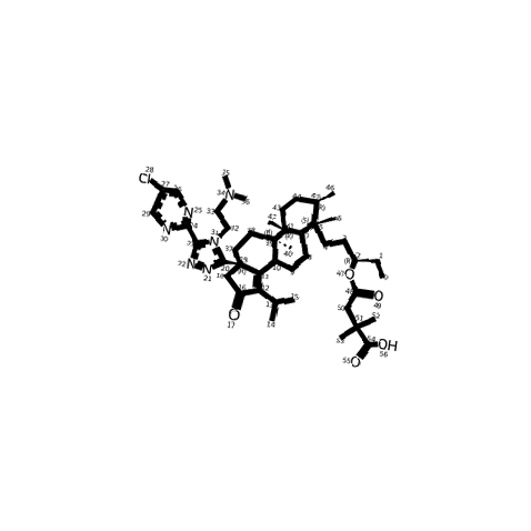 CC[C@H](CC[C@]1(C)C2CCC3C4=C(C(C)C)C(=O)C[C@]4(c4nnc(-c5ncc(Cl)cn5)n4CCN(C)C)CC[C@@]3(C)[C@]2(C)CC[C@H]1C)OC(=O)CC(C)(C)C(=O)O